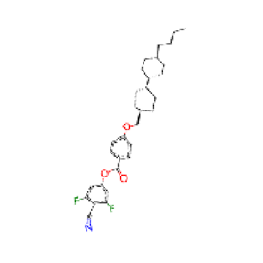 CCCC[C@H]1CC[C@H]([C@H]2CC[C@H](COc3ccc(C(=O)Oc4cc(F)c(C#N)c(F)c4)cc3)CC2)CC1